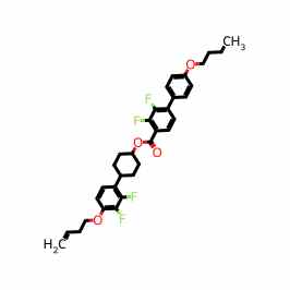 C=CCCOc1ccc(C2CCC(OC(=O)c3ccc(-c4ccc(OCCCC)cc4)c(F)c3F)CC2)c(F)c1F